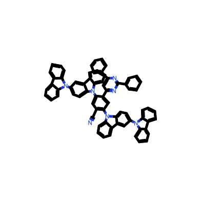 N#Cc1cc(-n2c3ccccc3c3cc(-n4c5ccccc5c5ccccc54)ccc32)c(-c2cc(-c3ccccc3)nc(-c3ccccc3)n2)cc1-n1c2ccccc2c2cc(-n3c4ccccc4c4ccccc43)ccc21